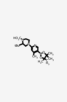 Cc1cc(N2CCN(C(=O)O)C(C(C)(C)C)C2)ncc1B1OC(C)(C)C(C)(C)O1